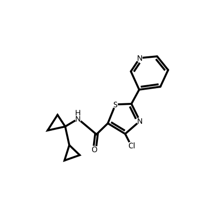 O=C(NC1(C2CC2)CC1)c1sc(-c2cccnc2)nc1Cl